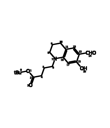 CC(C)(C)OC(=O)CCCN1CCCc2cc(C=O)c(O)cc21